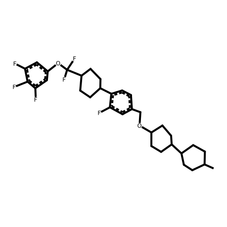 CC1CCC(C2CCC(OCc3ccc(C4CCC(C(F)(F)Oc5cc(F)c(F)c(F)c5)CC4)c(F)c3)CC2)CC1